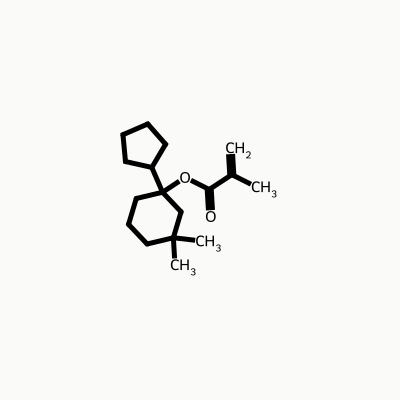 C=C(C)C(=O)OC1(C2CCCC2)CCCC(C)(C)C1